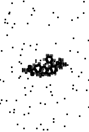 [2H]C([2H])([2H])Oc1ncc2nc(C)n(Cc3ccc(S(N)(=O)=O)cc3)c2c1-c1ccccc1